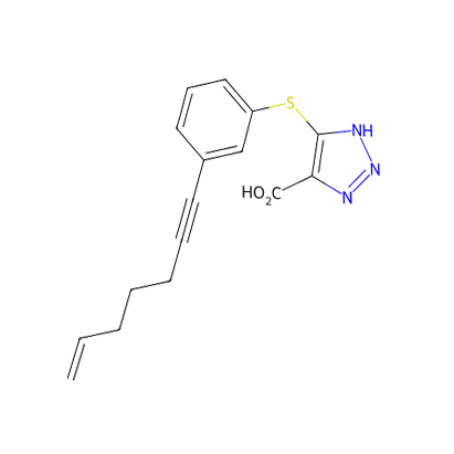 C=CCCCC#Cc1cccc(Sc2[nH]nnc2C(=O)O)c1